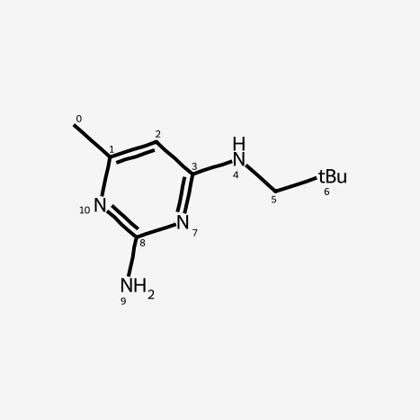 Cc1cc(NCC(C)(C)C)nc(N)n1